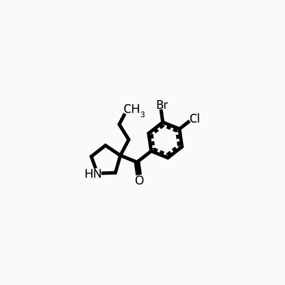 CCCC1(C(=O)c2ccc(Cl)c(Br)c2)CCNC1